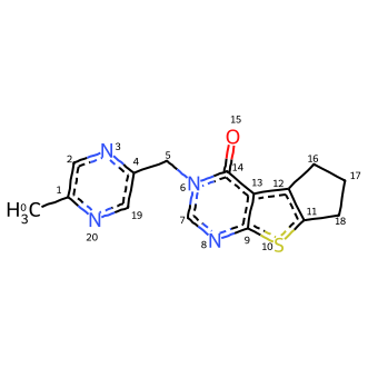 Cc1cnc(Cn2cnc3sc4c(c3c2=O)CCC4)cn1